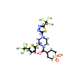 O=C(C1CCS(=O)(=O)CC1)N1CCN(c2nnc(C(F)(F)F)s2)C[C@@H]1c1ccc(C(F)(F)F)s1